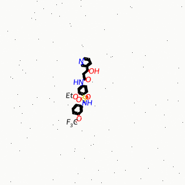 CCOc1cc(NC(=O)CC(O)c2cccnc2)ccc1S(=O)(=O)Nc1cccc(OC(F)(F)F)c1